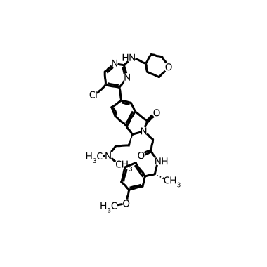 COc1cccc([C@@H](C)NC(=O)CN2C(=O)c3cc(-c4nc(NC5CCOCC5)ncc4Cl)ccc3[C@@H]2CCN(C)C)c1